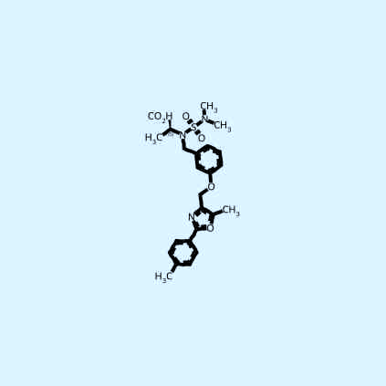 Cc1ccc(-c2nc(COc3cccc(CN([C@@H](C)C(=O)O)S(=O)(=O)N(C)C)c3)c(C)o2)cc1